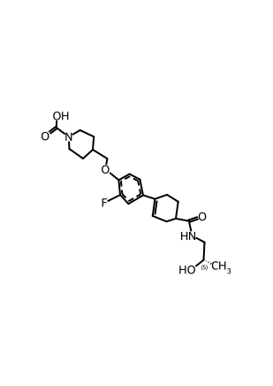 C[C@H](O)CNC(=O)C1CC=C(c2ccc(OCC3CCN(C(=O)O)CC3)c(F)c2)CC1